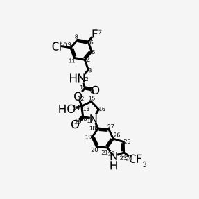 O=C(NCc1cc(F)cc(Cl)c1)OC1(O)CCN(c2ccc3[nH]c(C(F)(F)F)cc3c2)C1=O